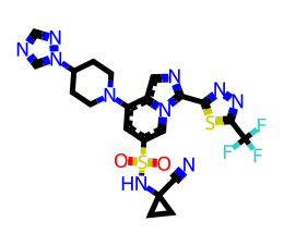 N#CC1(NS(=O)(=O)c2cc(N3CCC(n4cncn4)CC3)c3cnc(-c4nnc(C(F)(F)F)s4)n3c2)CC1